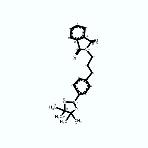 CC1(C)OB(c2ccc(CCCN3C(=O)c4ccccc4C3=O)cc2)OC1(C)C